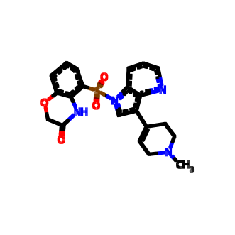 CN1CC=C(c2cn(S(=O)(=O)c3cccc4c3NC(=O)CO4)c3cccnc23)CC1